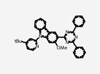 COc1cc2c(cc1-c1nc(-c3ccccc3)nc(-c3ccccc3)n1)c1ccccc1n2-c1cc(C(C)(C)C)ccn1